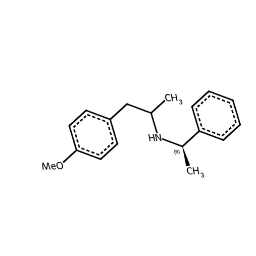 COc1ccc(CC(C)N[C@H](C)c2ccccc2)cc1